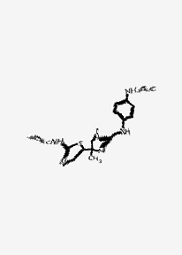 CC(=O)Nc1ccc(NC2=NC(C)(c3cnc(NC(C)=O)s3)CS2)cc1